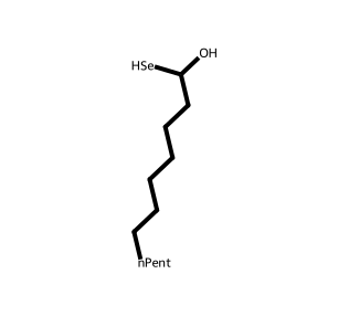 CCCCCCCCCCCC(O)[SeH]